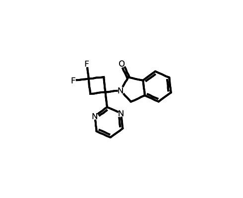 O=C1c2ccccc2CN1C1(c2ncccn2)CC(F)(F)C1